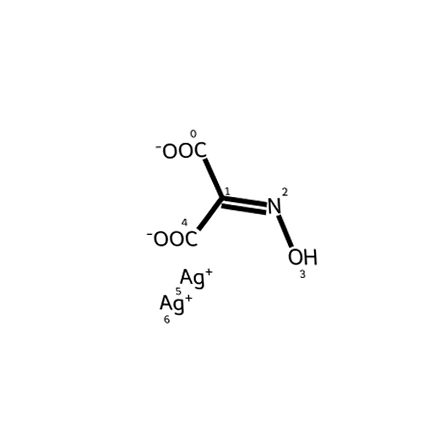 O=C([O-])C(=NO)C(=O)[O-].[Ag+].[Ag+]